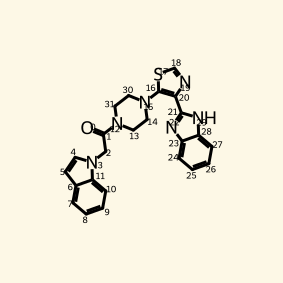 O=C(Cn1ccc2ccccc21)N1CCN(c2scnc2-c2nc3ccccc3[nH]2)CC1